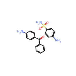 Nc1ccc(C(=O)c2ccccc2)cc1.Nc1ccc(S(N)(=O)=O)cc1